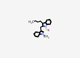 CCCCc1c(Cc2cn(C)c3ccccc23)n(SI)c2ccccc12